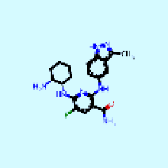 Cc1n[nH]c2ccc(Nc3nc(N[C@@H]4CCCC[C@@H]4N)c(F)cc3C(N)=O)cc12